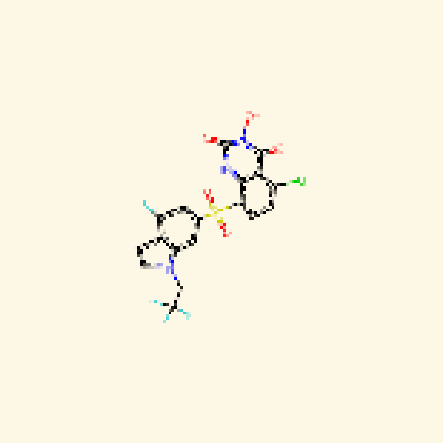 O=c1[nH]c2c(S(=O)(=O)c3cc(F)c4ccn(CC(F)(F)F)c4c3)ccc(Cl)c2c(=O)n1O